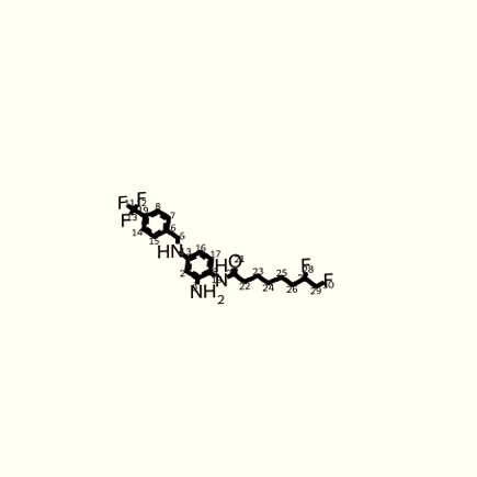 Nc1cc(NCc2ccc(C(F)(F)F)cc2)ccc1NC(=O)CCCCCC(F)CF